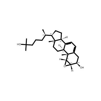 C[C@H](CCCC(C)(C)O)[C@H]1CC[C@H]2C3=CC=C4C[C@@H](O)[C@@H]5O[C@@H]5[C@]4(C)[C@H]3CC[C@]12C